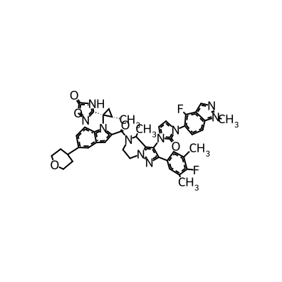 Cc1cc(-c2nn3c(c2-n2ccn(-c4ccc5c(cnn5C)c4F)c2=O)C(C)N(C(=O)c2cc4cc(C5CCOCC5)ccc4n2[C@@]2(c4noc(=O)[nH]4)C[C@@H]2C)CC3)cc(C)c1F